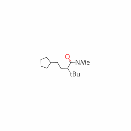 CNC(=O)C(CCC1CCCC1)C(C)(C)C